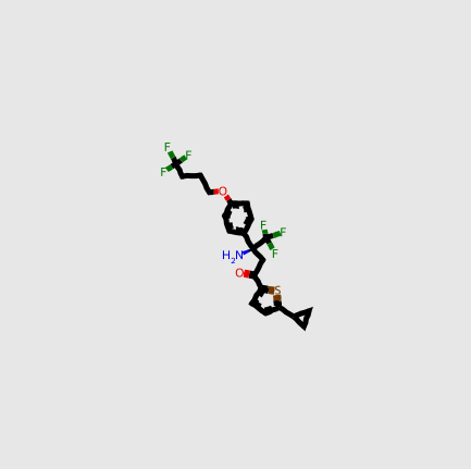 N[C@@](CC(=O)c1ccc(C2CC2)s1)(c1ccc(OCCCC(F)(F)F)cc1)C(F)(F)F